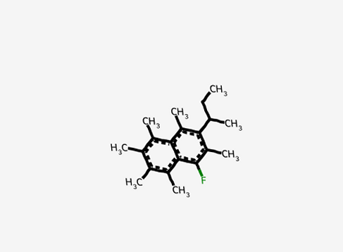 CCC(C)c1c(C)c(F)c2c(C)c(C)c(C)c(C)c2c1C